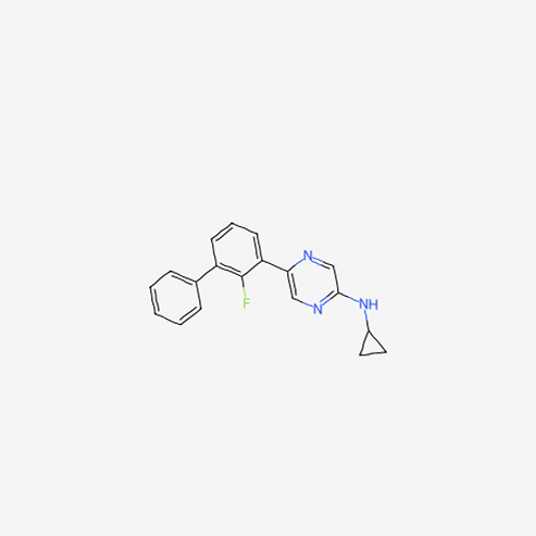 Fc1c(-c2ccccc2)cccc1-c1cnc(NC2CC2)cn1